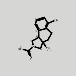 CC12CCc3c(Cl)cccc3C1CN(C(=O)O)C2